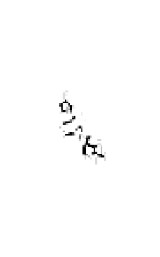 O=C(C1CNCc2nn(Cc3ccnc(C(F)(F)F)c3F)c(=O)n21)N1CC[C@H](F)C1